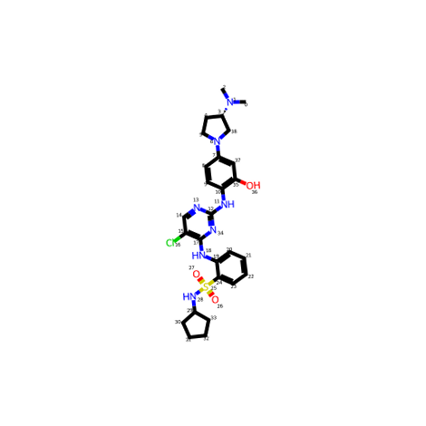 CN(C)[C@H]1CCN(c2ccc(Nc3ncc(Cl)c(Nc4ccccc4S(=O)(=O)NC4CCCC4)n3)c(O)c2)C1